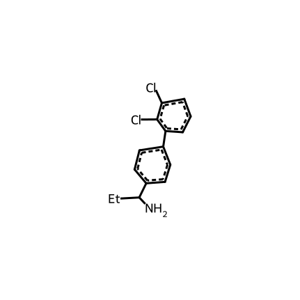 [CH2]CC(N)c1ccc(-c2cccc(Cl)c2Cl)cc1